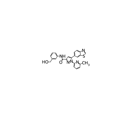 Cc1cccc(-n2nc(C(=O)Nc3cccc(CO)c3)cc2-c2ccc3ncsc3c2)n1